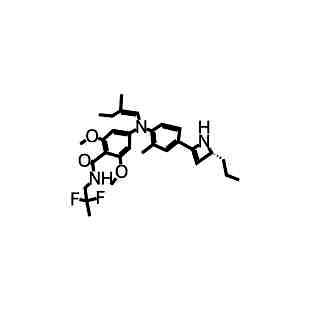 CCC[C@@H]1C=C(c2ccc(N(/C=C(/C)CC)c3cc(OC)c(C(=O)NCC(C)(F)F)c(OC)c3)c(C)c2)N1